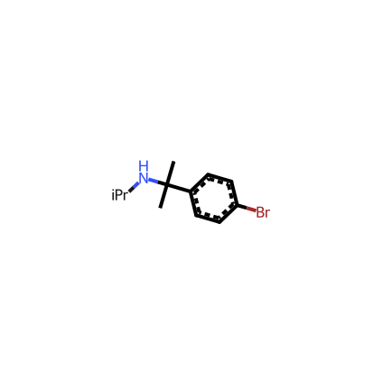 CC(C)NC(C)(C)c1ccc(Br)cc1